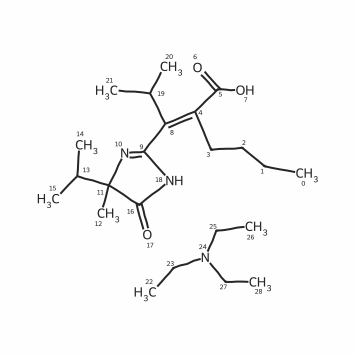 CCCC/C(C(=O)O)=C(\C1=NC(C)(C(C)C)C(=O)N1)C(C)C.CCN(CC)CC